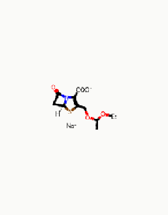 CCOC(C)OCC1=C(C(=O)[O-])N2C(=O)C[C@@H]2S1.[Na+]